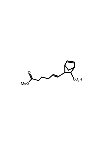 COC(=O)CCCC=CC1C2C=CC(C2)C1C(=O)O